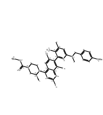 COc1ccc(CN(C)c2cc(C)c(C(F)(F)F)c(-c3c(Cl)cc4c(N5CCN(C(=O)OC(C)(C)C)C[C@@H]5C)nc(F)nc4c3F)n2)cc1